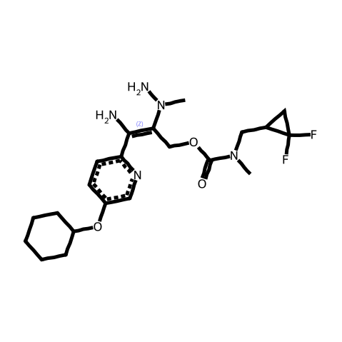 CN(CC1CC1(F)F)C(=O)OC/C(=C(/N)c1ccc(OC2CCCCC2)cn1)N(C)N